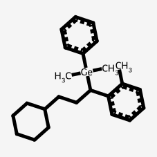 Cc1ccccc1[CH](CCC1CCCCC1)[Ge]([CH3])([CH3])[c]1ccccc1